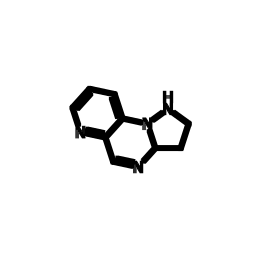 C1=NC2CCNN2c2cccnc21